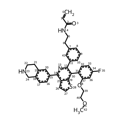 C=CC(=O)NCCc1cccc(-c2nc(-c3ccc4c(c3)CCNC4)c3ccsc3c2-c2ccc(F)cc2OCCOC)c1